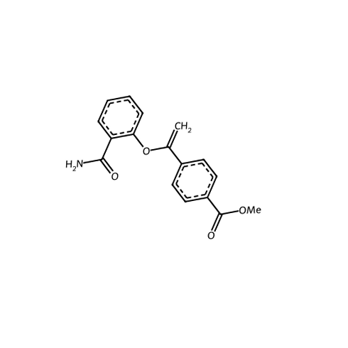 C=C(Oc1ccccc1C(N)=O)c1ccc(C(=O)OC)cc1